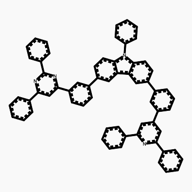 c1ccc(-c2cc(-c3cccc(-c4ccc5c(c4)c4cc(-c6cccc(-c7cc(-c8ccccc8)nc(-c8ccccc8)n7)c6)ccc4n5-c4ccccc4)c3)cc(-c3ccccc3)n2)cc1